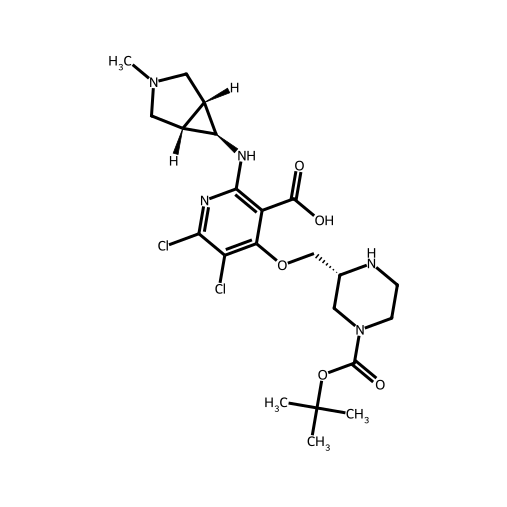 CN1C[C@@H]2[C@H](C1)[C@H]2Nc1nc(Cl)c(Cl)c(OC[C@H]2CN(C(=O)OC(C)(C)C)CCN2)c1C(=O)O